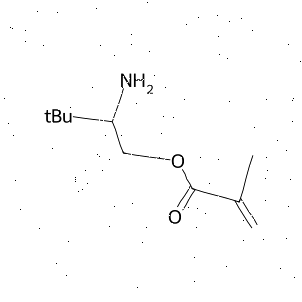 C=C(C)C(=O)OCC(N)C(C)(C)C